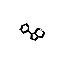 [c]1cccc(-c2ccc3ccscc2-3)c1